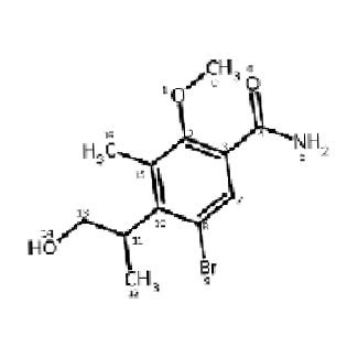 COc1c(C(N)=O)cc(Br)c(C(C)CO)c1C